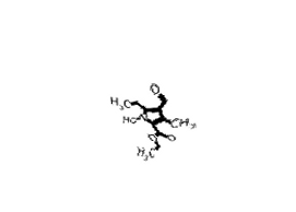 CCOC(=O)c1c(C)c(C=O)c(CC)n1O